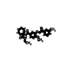 CCOC(=O)C1(NC(=O)c2ccc(OC)c(OCC(=O)c3cccc(C)c3)c2)CCCCCC1